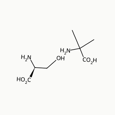 CC(C)(N)C(=O)O.N[C@@H](CO)C(=O)O